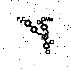 COC(=O)c1ccc(Cn2cc(-c3ccc(Cl)cc3Cl)nc2C=Cc2ccc(-c3ccc(C(F)(F)F)cc3)cc2)cc1